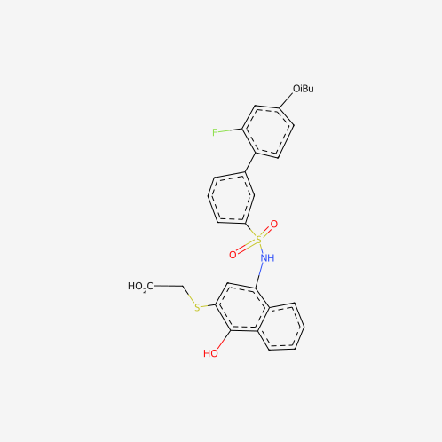 CC(C)COc1ccc(-c2cccc(S(=O)(=O)Nc3cc(SCC(=O)O)c(O)c4ccccc34)c2)c(F)c1